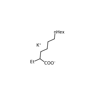 CCCCCCCCCCC(CC)C(=O)[O-].[K+]